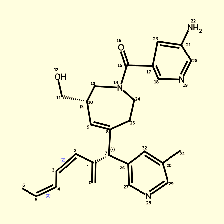 C=C(/C=C\C=C/C)[C@H](C1=C[C@H](CO)CN(C(=O)c2cncc(N)c2)CC1)c1cncc(C)c1